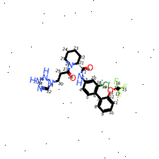 O=C(Nc1ccc(-c2ccccc2OC(F)(F)F)c(Cl)c1)[C@H]1CCCCN1C(=O)CCN1C=NNN1